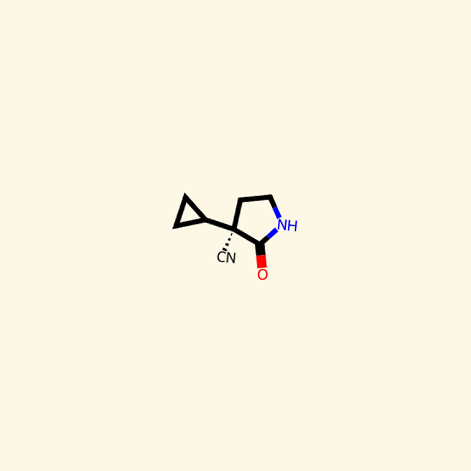 N#C[C@]1(C2CC2)CCNC1=O